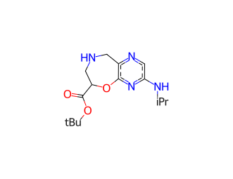 CC(C)Nc1cnc2c(n1)OC(C(=O)OC(C)(C)C)CNC2